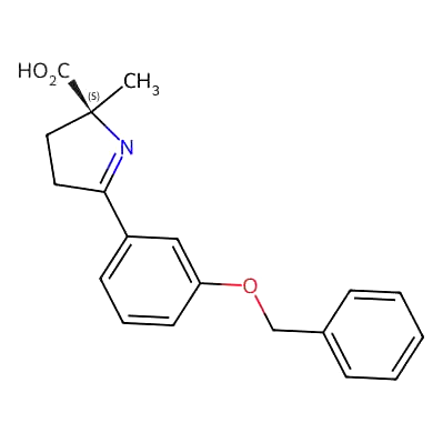 C[C@@]1(C(=O)O)CCC(c2cccc(OCc3ccccc3)c2)=N1